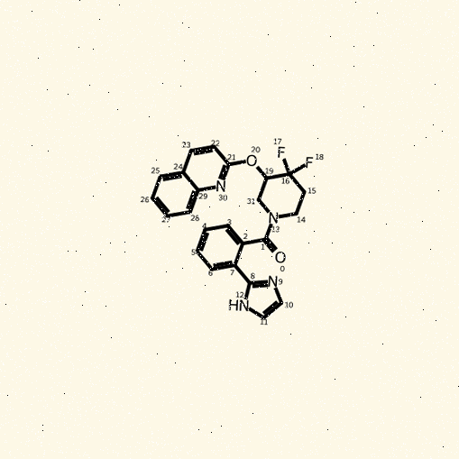 O=C(c1ccccc1-c1ncc[nH]1)N1CCC(F)(F)C(Oc2ccc3ccccc3n2)C1